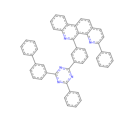 c1ccc(-c2cccc(-c3nc(-c4ccccc4)nc(-c4cccc(-c5nc6ccccc6c6ccc7ccc(-c8ccccc8)nc7c56)c4)n3)c2)cc1